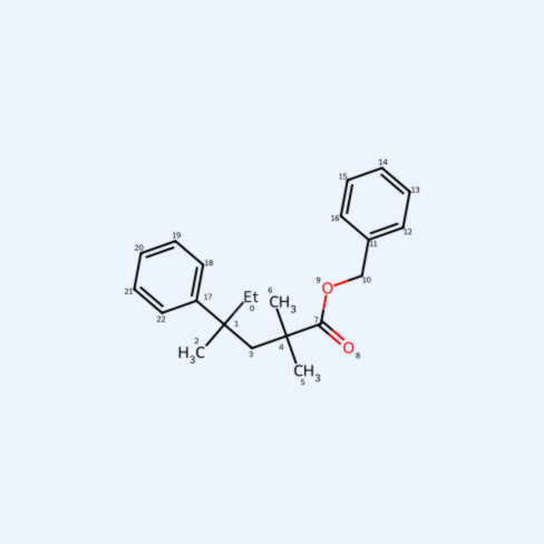 CCC(C)(CC(C)(C)C(=O)OCc1ccccc1)c1ccccc1